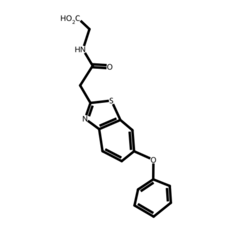 O=C(O)CNC(=O)Cc1nc2ccc(Oc3ccccc3)cc2s1